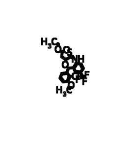 CCOC(=O)CC1OC(c2cccc(OC)c2Cl)c2cc(C(F)(F)F)ccc2NC1=S